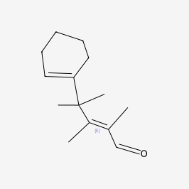 C/C(C=O)=C(/C)C(C)(C)C1=CCCCC1